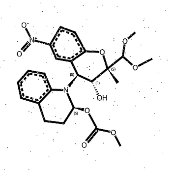 COC(=O)O[C@H]1CCc2ccccc2N1[C@H]1c2cc([N+](=O)[O-])ccc2O[C@](C)(C(OC)OC)[C@@H]1O